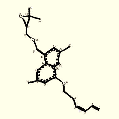 C=C/C=C\CCOc1cc(C)cc2c(COCC3OC3(C)C)cc(C)cc12